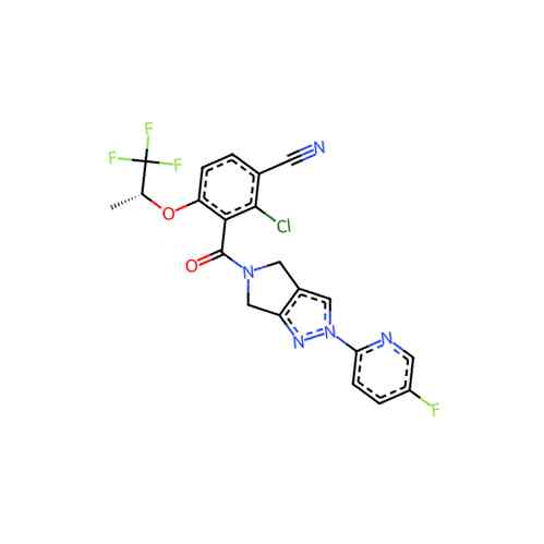 C[C@@H](Oc1ccc(C#N)c(Cl)c1C(=O)N1Cc2cn(-c3ccc(F)cn3)nc2C1)C(F)(F)F